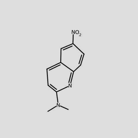 CN(C)c1ccc2cc([N+](=O)[O-])ccc2n1